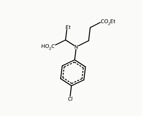 CCOC(=O)CCN(c1ccc(Cl)cc1)C(CC)C(=O)O